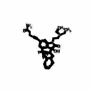 CCN(CC)CCN1C(=O)C(O)(c2ccc3ccccc3c2)c2c1cc(C#CCCC(N)=O)cc2C(F)(F)F